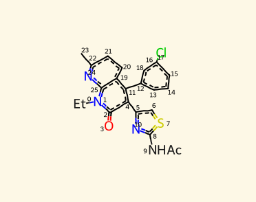 CCn1c(=O)c(-c2csc(NC(C)=O)n2)c(-c2cccc(Cl)c2)c2ccc(C)nc21